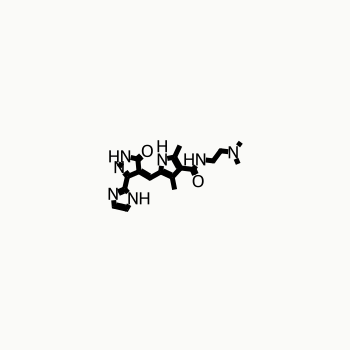 Cc1[nH]c(C=C2C(=O)NN=C2c2ncc[nH]2)c(C)c1C(=O)NCCN(C)C